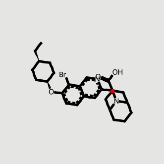 CC[C@H]1CC[C@@H](Oc2ccc3cc(CN4C5CCCC4CC(C(=O)O)C5)ncc3c2Br)CC1